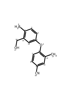 Bc1ccc(Oc2ccc(C#N)cc2C)cc1CO